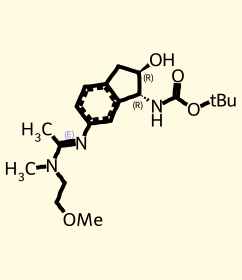 COCCN(C)/C(C)=N/c1ccc2c(c1)[C@@H](NC(=O)OC(C)(C)C)[C@H](O)C2